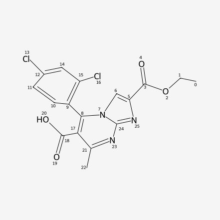 CCOC(=O)c1cn2c(-c3ccc(Cl)cc3Cl)c(C(=O)O)c(C)nc2n1